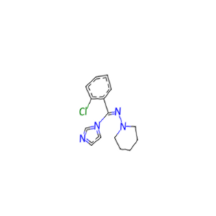 Clc1ccccc1C(=NN1CCCCC1)n1ccnc1